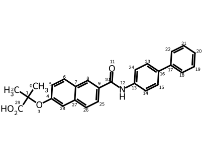 CC(C)(Oc1ccc2cc(C(=O)Nc3ccc(-c4ccccc4)cc3)ccc2c1)C(=O)O